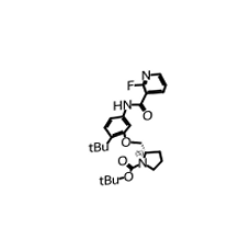 CC(C)(C)OC(=O)N1CCC[C@H]1COc1cc(NC(=O)c2cccnc2F)ccc1C(C)(C)C